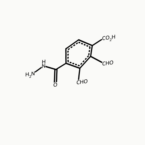 NNC(=O)c1ccc(C(=O)O)c(C=O)c1C=O